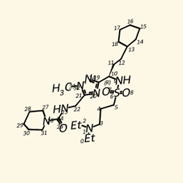 CCN(CC)CCCS(=O)(=O)N[C@H](CCC1CCCCC1)c1nc(CNC(=O)N2CCCCC2)n(C)n1